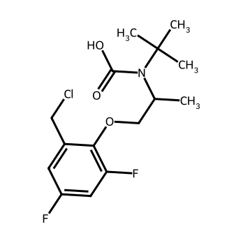 CC(COc1c(F)cc(F)cc1CCl)N(C(=O)O)C(C)(C)C